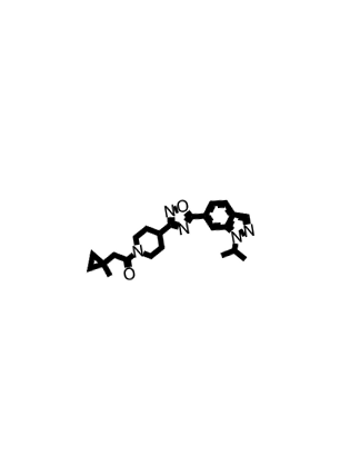 CC(C)n1ncc2ccc(-c3nc(C4CCN(C(=O)CC5(C)CC5)CC4)no3)cc21